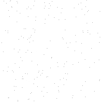 Cc1cc2c(c(=Cc3ccc(-c4ccccc4)cc3)c1C(C)(C)C)=c1c(c(C3=CC=CC3)c(C)c(C(C)(C)C)c1=Cc1ccc(-c3ccccc3)cc1)[CH]2[Zr+2].[Cl-].[Cl-]